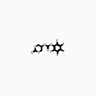 O=C1OCC(OC(=O)Oc2c(F)c(F)c(F)c(F)c2F)CO1